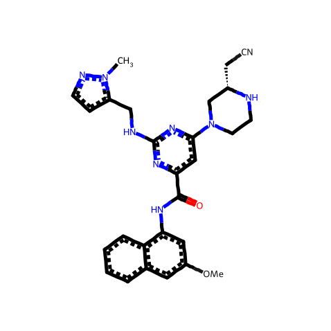 COc1cc(NC(=O)c2cc(N3CCN[C@@H](CC#N)C3)nc(NCc3ccnn3C)n2)c2ccccc2c1